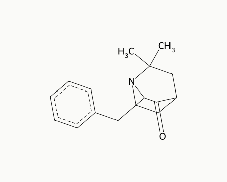 CC1(C)CC2CCN1C(Cc1ccccc1)C2=O